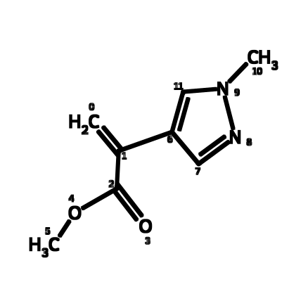 C=C(C(=O)OC)c1cnn(C)c1